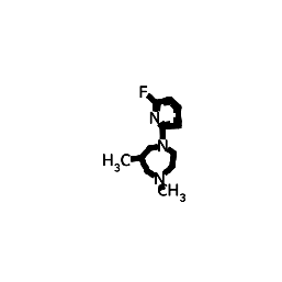 CC1CN(C)CCN(c2cccc(F)n2)C1